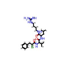 CC(C)CC(NC(=O)C(NC(=O)C(Br)Cc1ccccc1)C(C)C)C(=O)NCCCCNC(=N)N